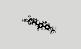 C/C(=C\c1cc(C)c(-c2ccc(NC(C)C)cc2F)cc1C)C(=O)N[C@H](C)C(=O)O